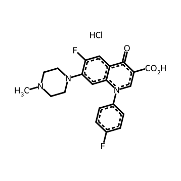 CN1CCN(c2cc3c(cc2F)c(=O)c(C(=O)O)cn3-c2ccc(F)cc2)CC1.Cl